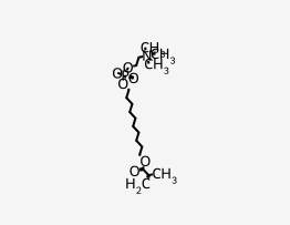 C=C(C)C(=O)OCCCCCCCCCCOP(=O)([O-])OCC[N+](C)(C)C